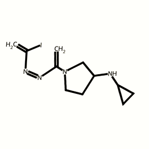 C=C(I)/N=N\C(=C)N1CCC(NC2CC2)C1